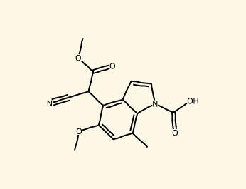 COC(=O)C(C#N)c1c(OC)cc(C)c2c1ccn2C(=O)O